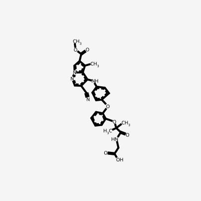 COC(=O)c1cn2ncc(C#N)c(Nc3ccc(Oc4ccccc4OC(C)(C)C(=O)NCC(=O)O)cc3)c2c1C